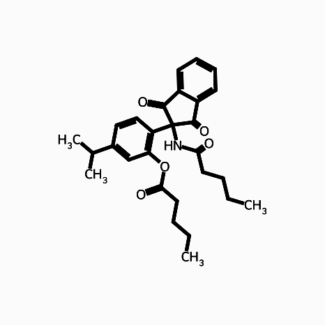 CCCCC(=O)NC1(c2ccc(C(C)C)cc2OC(=O)CCCC)C(=O)c2ccccc2C1=O